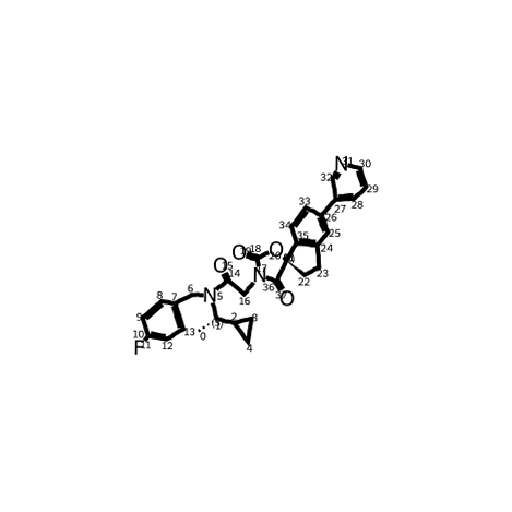 C[C@@H](C1CC1)N(Cc1ccc(F)cc1)C(=O)CN1C(=O)O[C@@]2(CCc3cc(-c4cccnc4)ccc32)C1=O